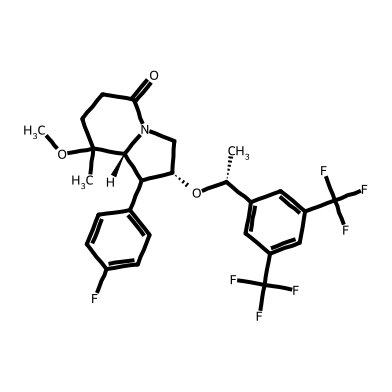 COC1(C)CCC(=O)N2C[C@H](O[C@H](C)c3cc(C(F)(F)F)cc(C(F)(F)F)c3)C(c3ccc(F)cc3)[C@@H]21